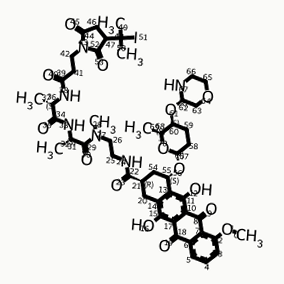 COc1cccc2c1C(=O)c1c(O)c3c(c(O)c1C2=O)C[C@@H](C(=O)NCCN(C)C(=O)[C@H](C)NC(=O)[C@H](C)NC(=O)CCN1C(=O)CC(C(C)(C)I)C1=O)C[C@@H]3O[C@H]1CC[C@H](O[C@@H]2COCCN2)[C@H](C)O1